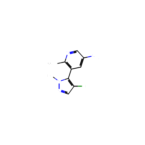 COc1ncc(N)cc1-c1c(Cl)cnn1C